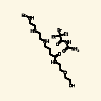 CCC(Br)(CC)C(=O)NC(N)=O.CCNCCNCCNCCCC(=O)NCCOCCO